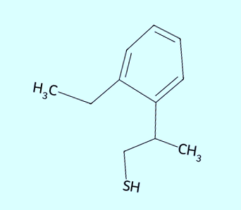 CCc1ccccc1C(C)CS